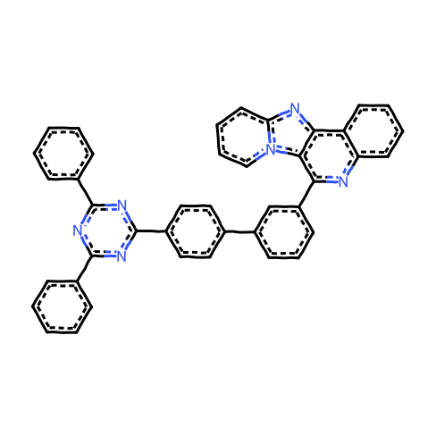 c1ccc(-c2nc(-c3ccccc3)nc(-c3ccc(-c4cccc(-c5nc6ccccc6c6nc7ccccn7c56)c4)cc3)n2)cc1